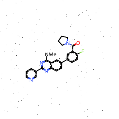 CNc1nc(-c2cccnc2)nc2ccc(-c3ccc(F)c(C(=O)N4CCCC4)c3)cc12